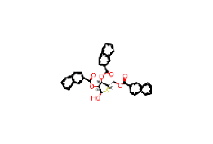 O=C(OC[C@@H]1SC(O)[C@@H](OC(=O)c2ccc3ccccc3c2)[C@H]1OC(=O)c1ccc2ccccc2c1)c1ccc2ccccc2c1